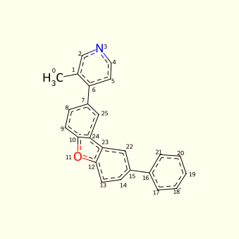 Cc1cnccc1-c1ccc2oc3ccc(-c4c[c]ccc4)cc3c2c1